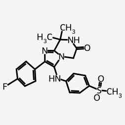 CC1(C)NC(=O)Cn2c1nc(-c1ccc(F)cc1)c2Nc1ccc(S(C)(=O)=O)cc1